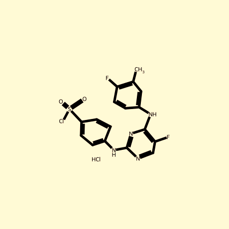 Cc1cc(Nc2nc(Nc3ccc(S(=O)(=O)Cl)cc3)ncc2F)ccc1F.Cl